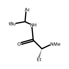 CC[C@@H](NC)C(=O)NC(C(C)=O)C(C)(C)C